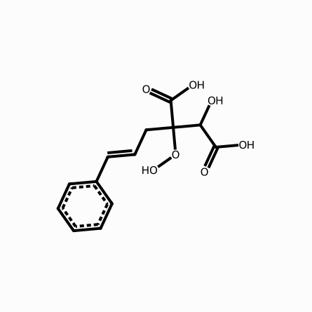 O=C(O)C(O)C(CC=Cc1ccccc1)(OO)C(=O)O